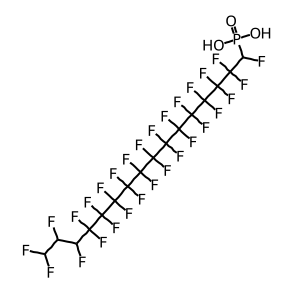 O=P(O)(O)C(F)C(F)(F)C(F)(F)C(F)(F)C(F)(F)C(F)(F)C(F)(F)C(F)(F)C(F)(F)C(F)(F)C(F)(F)C(F)(F)C(F)(F)C(F)C(F)C(F)F